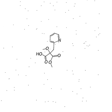 COC(=O)C(Cc1ccccn1)(OC)C(=O)O